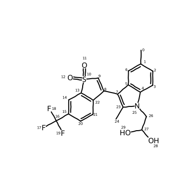 Cc1ccc2c(c1)c(C1=CS(=O)(=O)c3cc(C(F)(F)F)ccc31)c(C)n2CC(O)O